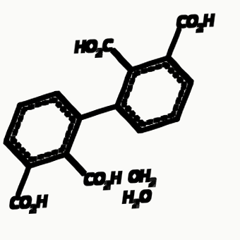 O.O.O=C(O)c1cccc(-c2cccc(C(=O)O)c2C(=O)O)c1C(=O)O